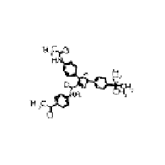 CC(=O)Nc1ccc(-c2oc(-c3ccc(C(C)(C)C)cc3)nc2C(=O)Nc2ccc(C(C)=O)cc2)cc1